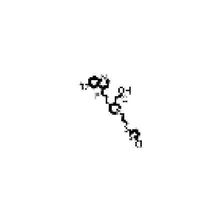 COc1ccc2nccc([C@@H](F)CC[C@@H]3CCN(CCCSc4ccc(Cl)s4)C[C@@H]3CC(=O)O)c2c1